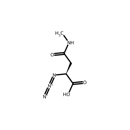 CNC(=O)C[C@H](N=[N+]=[N-])C(=O)O